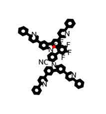 N#Cc1cc(-n2c3ccc(-c4ccc(-c5ccccc5)nc4)cc3c3cc(-c4ccc(-c5ccccc5)nc4)ccc32)c(-c2c(F)c(F)c(F)c(F)c2F)cc1-n1c2ccc(-c3ccc(-c4ccccc4)nc3)cc2c2cc(-c3ccc(-c4ccccc4)nc3)ccc21